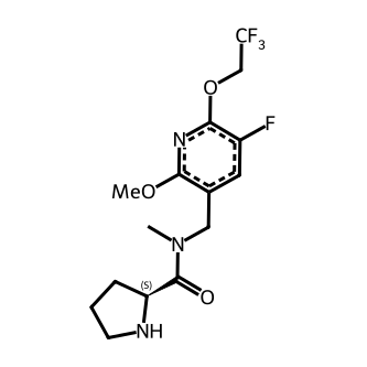 COc1nc(OCC(F)(F)F)c(F)cc1CN(C)C(=O)[C@@H]1CCCN1